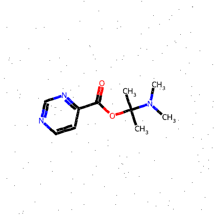 CN(C)C(C)(C)OC(=O)c1ccncn1